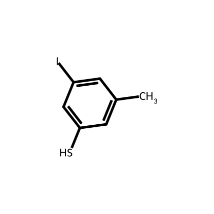 Cc1cc(S)cc(I)c1